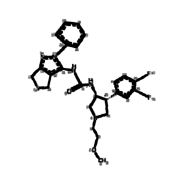 COCCN1C[C@@H](NC(=O)Nc2c3c(nn2-c2ccccc2)CSC3)[C@H](c2ccc(F)c(F)c2)C1